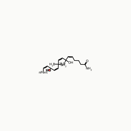 BC(B)(/C=C\C(B)(O)/C=C\CCCC(N)=O)/C=C\C(O)(O)/C=C\CCCCC